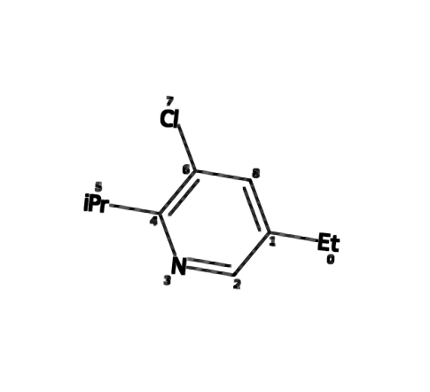 CCc1cnc(C(C)C)c(Cl)c1